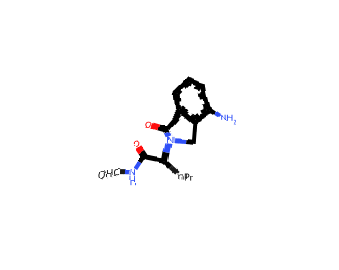 CCCC(C(=O)NC=O)N1Cc2c(N)cccc2C1=O